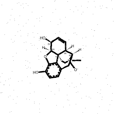 C[N+]1([O-])CC[C@]23c4c5ccc(O)c4O[C@H]2[C@@H](O)C=C[C@H]3[C@H]1C5